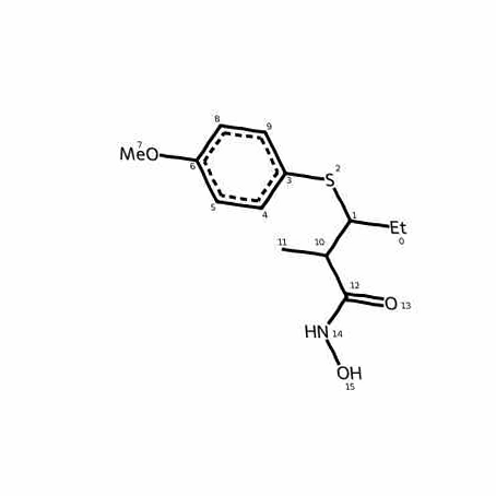 CCC(Sc1ccc(OC)cc1)C(C)C(=O)NO